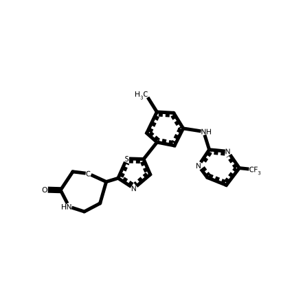 Cc1cc(Nc2nccc(C(F)(F)F)n2)cc(-c2cnc(C3CCNC(=O)CC3)s2)c1